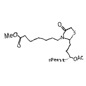 CCCCC[C@H](CCC1SCC(=O)N1CCCCCCC(=O)OC)OC(C)=O